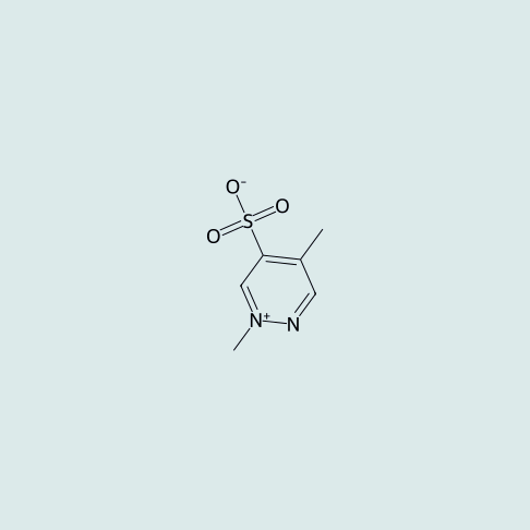 Cc1cn[n+](C)cc1S(=O)(=O)[O-]